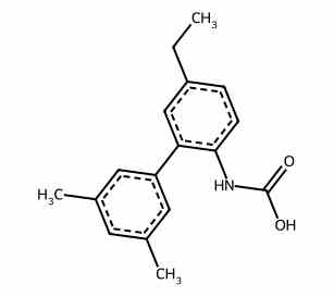 CCc1ccc(NC(=O)O)c(-c2cc(C)cc(C)c2)c1